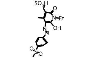 CCn1c(O)c(/N=N/c2ccc(S(C)(=O)=O)cc2)c(C)c(CS(=O)(=O)O)c1=O